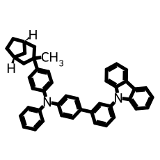 CC1(c2ccc(N(c3ccccc3)c3ccc(-c4cccc(-n5c6ccccc6c6ccccc65)c4)cc3)cc2)C[C@@H]2CC[C@H](C2)C1